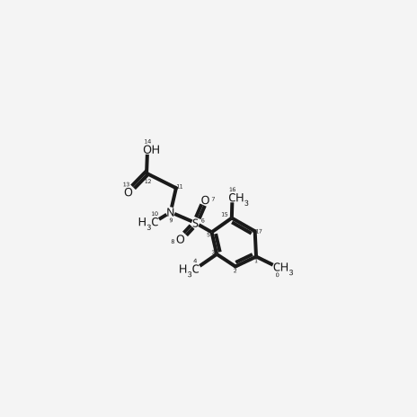 Cc1cc(C)c(S(=O)(=O)N(C)CC(=O)O)c(C)c1